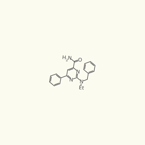 CCN(Cc1ccccc1)c1nc(C(N)=O)cc(-c2ccccc2)n1